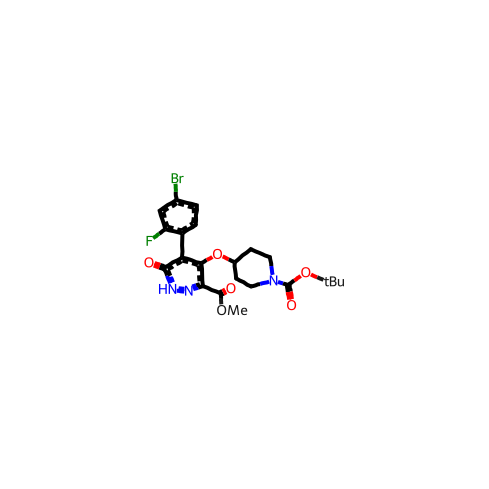 COC(=O)c1n[nH]c(=O)c(-c2ccc(Br)cc2F)c1OC1CCN(C(=O)OC(C)(C)C)CC1